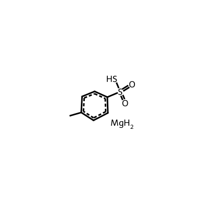 Cc1ccc(S(=O)(=O)S)cc1.[MgH2]